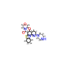 O=C(c1c(=O)c2ccc(N3CCCNCC3)nc2n2c1sc1ccccc12)N1CCOCC1